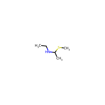 CCNC(C)SC